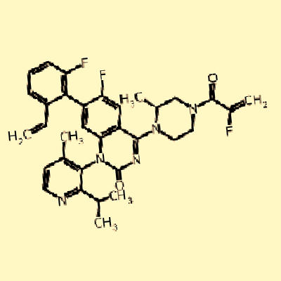 C=Cc1cccc(F)c1-c1cc2c(cc1F)c(N1CCN(C(=O)C(=C)F)C[C@@H]1C)nc(=O)n2-c1c(C)ccnc1C(C)C